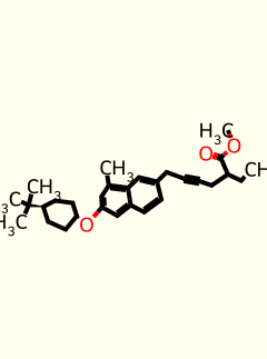 CCC(CC#CCc1ccc2cc(O[C@H]3CC[C@H](C(C)(C)C)CC3)cc(C)c2c1)C(=O)OC